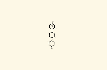 CCCCCCC12CCC(C3CCC([C@H]4CC[C@H](CCC)CC4)CC3)(CC1)CC2